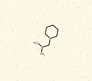 CN(C)[CH]N1CCCCC1